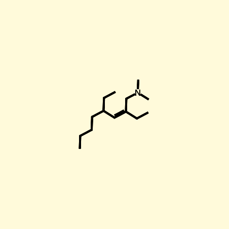 CCCCC(C=C(CC)CN(C)C)CC